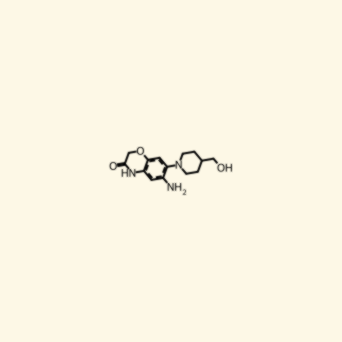 Nc1cc2c(cc1N1CCC(CO)CC1)OCC(=O)N2